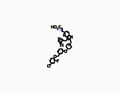 CCn1cncc1Cn1c(CN2CCC(Oc3cccc(COc4ccc(Cl)cc4F)c3)CC2)nc2ccc(/C=C/C(=O)O)nc21